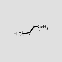 [GeH3][CH2][CH2][GeH3]